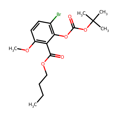 CCCCOC(=O)c1c(OC)ccc(Br)c1OC(=O)OC(C)(C)C